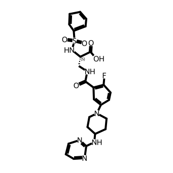 O=C(NC[C@H](NS(=O)(=O)c1ccccc1)C(=O)O)c1cc(N2CCC(Nc3ncccn3)CC2)ccc1F